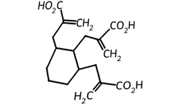 C=C(CC1CCCC(CC(=C)C(=O)O)C1CC(=C)C(=O)O)C(=O)O